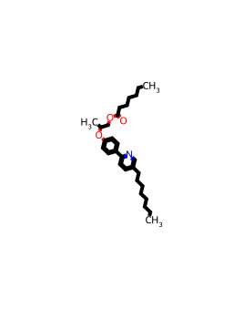 CCCCCCCCc1ccc(-c2ccc(OC(C)COC(=O)CCCCCC)cc2)nc1